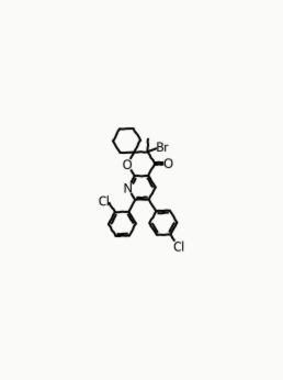 CC1(Br)C(=O)c2cc(-c3ccc(Cl)cc3)c(-c3ccccc3Cl)nc2OC12CCCCC2